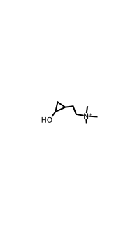 C[N+](C)(C)CCC1CC1O